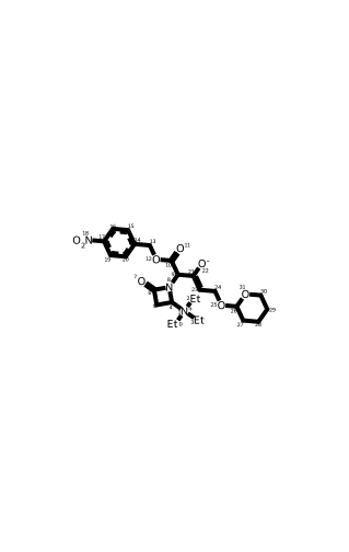 CC[N+](CC)(CC)C1CC(=O)N1C(C(=O)OCc1ccc([N+](=O)[O-])cc1)C([O-])=CCOC1CCCCO1